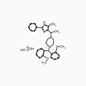 COc1ccccc1C(c1ccccc1OC)N1CCN(C(C)c2nc(-c3ccccc3)[nH]c2C)CC1.Cl.Cl.Cl